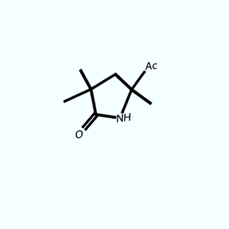 CC(=O)C1(C)CC(C)(C)C(=O)N1